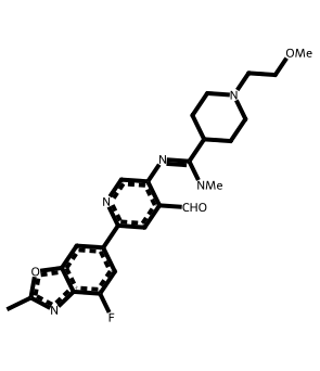 CN/C(=N\c1cnc(-c2cc(F)c3nc(C)oc3c2)cc1C=O)C1CCN(CCOC)CC1